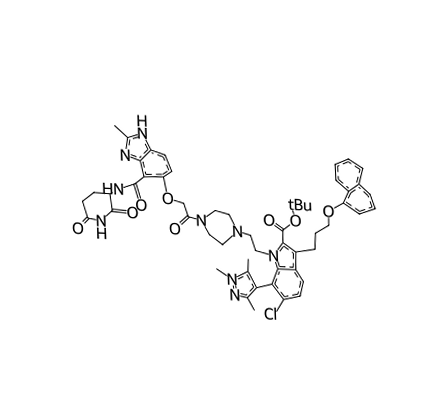 Cc1nc2c(C(=O)NC3CCC(=O)NC3=O)c(OCC(=O)N3CCN(CCn4c(C(=O)OC(C)(C)C)c(CCCOc5cccc6ccccc56)c5ccc(Cl)c(-c6c(C)nn(C)c6C)c54)CC3)ccc2[nH]1